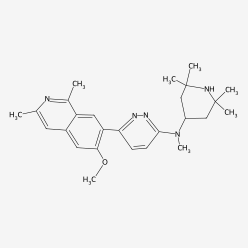 COc1cc2cc(C)nc(C)c2cc1-c1ccc(N(C)C2CC(C)(C)NC(C)(C)C2)nn1